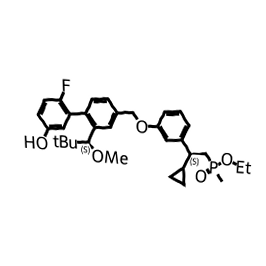 CCOP(C)(=O)C[C@H](c1cccc(OCc2ccc(-c3cc(O)ccc3F)c([C@@H](OC)C(C)(C)C)c2)c1)C1CC1